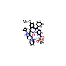 COc1ccc2c(c1)C=C(c1c(C(=O)N3CC4CCC(C3)N4C)c(C)nn1C1CCC1)Cn1c-2c(C2CCCCC2)c2ccc(C(=O)NS(=O)(=O)C(C)C)cc21